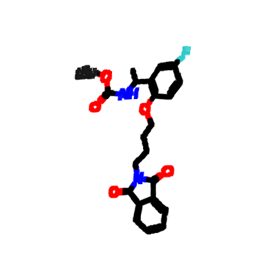 CC(NC(=O)OC(C)(C)C)c1cc(F)ccc1OCCCCN1C(=O)c2ccccc2C1=O